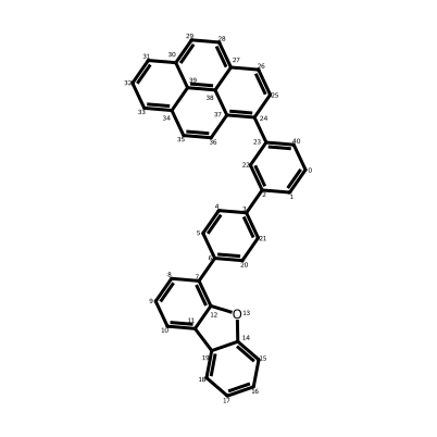 c1cc(-c2ccc(-c3cccc4c3oc3ccccc34)cc2)cc(-c2ccc3ccc4cccc5ccc2c3c45)c1